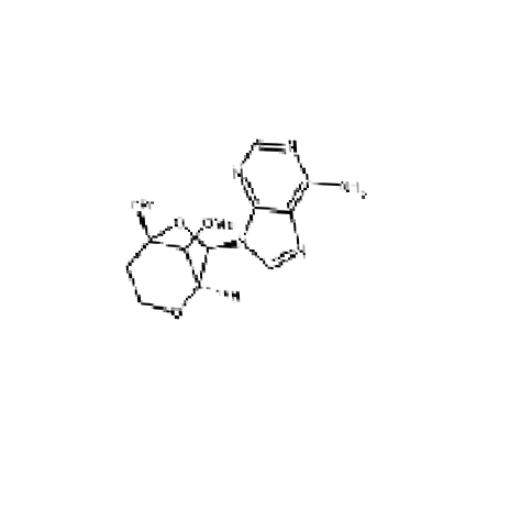 CCC[C@]12CCO[C@@H](C1OC)[C@H](n1cnc3c(N)ncnc31)O2